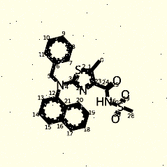 Cc1sc(N(Cc2ccccc2)c2cccc3ccccc23)nc1C(=O)NS(C)(=O)=O